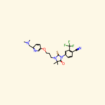 CN(C)Cc1ccc(OCCCN2C(=S)N(c3ccc(C#N)c(C(F)(F)F)c3)C(=O)C2(C)C)cn1